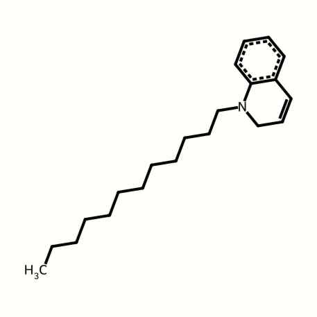 CCCCCCCCCCCCN1CC=Cc2ccccc21